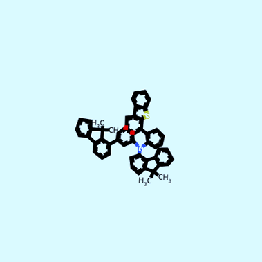 CC1(C)c2ccccc2-c2c(N(c3cccc(-c4cccc5c4C(C)(C)c4ccccc4-5)c3)c3ccccc3-c3cccc4c3sc3ccccc34)cccc21